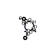 COc1ccc(C[C@H]2NC(=O)/C=C/C[C@@H](C(C)[C@H]3O[C@@H]3c3ccccc3)OC(=O)[C@H](CC(C)C)OC(=O)CCNC2=O)cc1